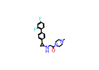 CN1CCN(C(=O)CN[C@H]2CC2c2ccc(-c3ccc(F)cc3F)cc2)CC1